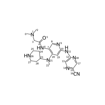 CN(C)CC(=O)Nc1cnc(Nc2cnc(C#N)cn2)cc1N(C)C1CCNCC1